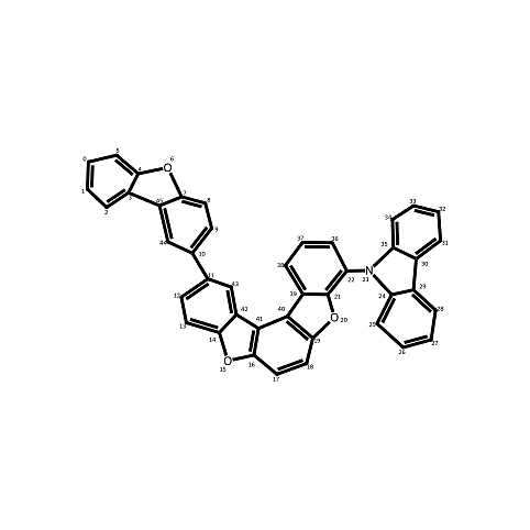 c1ccc2c(c1)oc1ccc(-c3ccc4oc5ccc6oc7c(-n8c9ccccc9c9ccccc98)cccc7c6c5c4c3)cc12